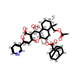 CC(=O)OCC1(C)C2C[C@H](OC(=O)C34CC5CC(CC(C5)C3)C4)[C@@]3(C)Oc4cc(-c5cccnc5)oc(=O)c4[C@H](O)C3[C@@]2(C)CC[C@@H]1C